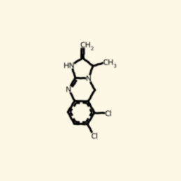 C=C1NC2=Nc3ccc(Cl)c(Cl)c3CN2C1C